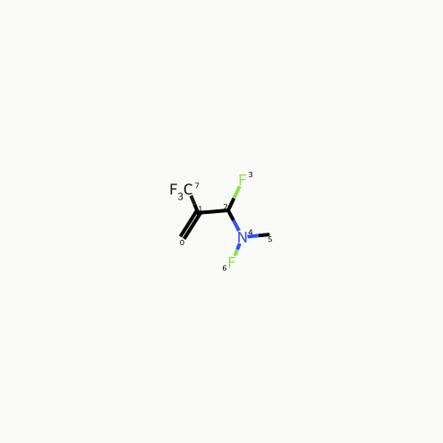 C=C(C(F)N(C)F)C(F)(F)F